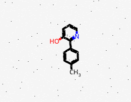 Cc1ccc(-c2ncccc2O)cc1